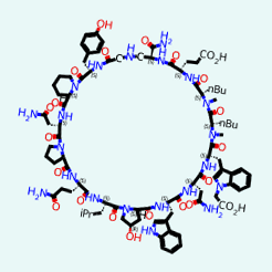 CCCC[C@H]1C(=O)N(C)[C@@H](CCCC)C(=O)N[C@@H](CCC(=O)O)C(=O)N[C@H](C(N)=O)CNCC(=O)N[C@@H](Cc2ccc(O)cc2)C(=O)N2CCCC[C@H]2C(=O)N[C@@H](CC(N)=O)C(=O)N2CCCC2C(=O)N[C@@H](CCC(N)=O)C(=O)N[C@@H](CC(C)C)C(=O)N2C[C@H](O)C[C@H]2C(=O)N[C@@H](Cc2c[nH]c3ccccc23)C(=O)N[C@@H](CC(N)=O)C(=O)N[C@@H](Cc2cn(CC(=O)O)c3ccccc23)C(=O)N1C